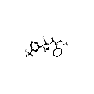 CCN(C(=O)n1nnn(-c2cccc(C(F)(F)F)c2)c1=O)C1CCCCC1